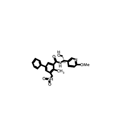 COc1ccc([C@@H](CO)NC(=O)c2cc(-c3ccccc3)cc(C[SH](=O)=O)c2C)cn1